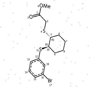 COC(=O)CS[C@@H]1CCCC[C@H]1Sc1cccc(Br)c1